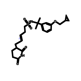 CC(C)(NS(=O)(=O)CC/C=C/CC1CCC(=O)NC1=O)c1cccc(OCC2CC2)c1